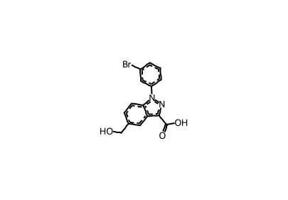 O=C(O)c1nn(-c2cccc(Br)c2)c2ccc(CO)cc12